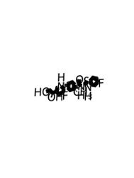 C[C@@H]1CN(C2NC=C([C@@H](O)CO)C=C2F)CCN1C(=O)NC1Nc2cc(F)ccc2S1